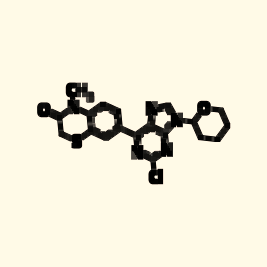 CN1C(=O)CSc2cc(-c3nc(Cl)nc4c3ncn4C3CCCCO3)ccc21